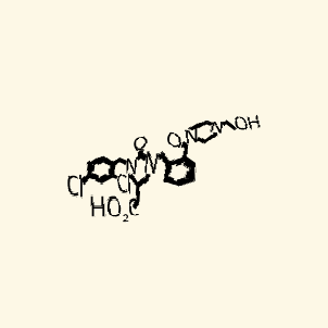 O=C(O)CC1CN(Cc2ccc(Cl)cc2Cl)C(=O)N(Cc2ccccc2C(=O)N2CCN(CCO)CC2)C1